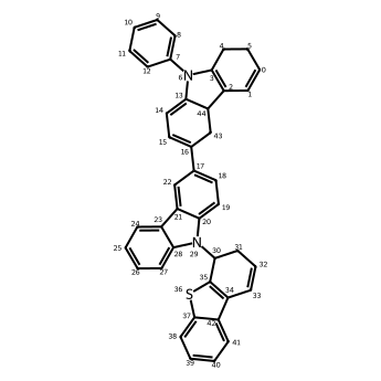 C1=CC2=C(CC1)N(c1ccccc1)C1=CC=C(c3ccc4c(c3)c3ccccc3n4C3CC=Cc4c3sc3ccccc43)CC12